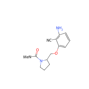 CNC(=O)N1CCCC1COc1cccc(N)c1C#N